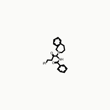 CC(C)CCC(=O)C(NC(=O)c1ccccc1)N1CCCc2ccccc2C1